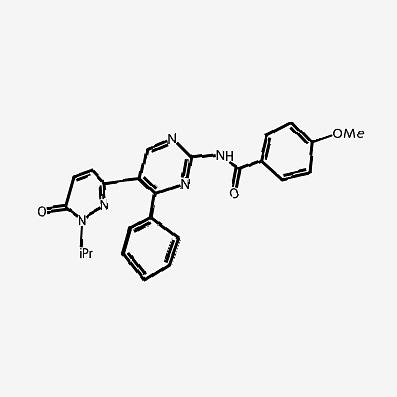 COc1ccc(C(=O)Nc2ncc(-c3ccc(=O)n(C(C)C)n3)c(-c3ccccc3)n2)cc1